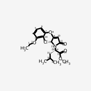 CCOc1cccc(OC2=CC(=O)N([C@@H](CC(C)C)C(=O)OC)C2)c1Cl